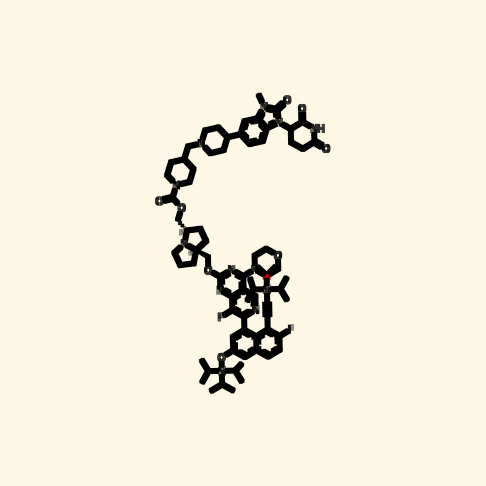 CC(C)[Si](C#Cc1c(F)ccc2cc(O[Si](C(C)C)(C(C)C)C(C)C)cc(-c3ncc4c(N5CCOCC5)nc(OC[C@@]56CCCN5[C@H](COC(=O)N5CCC(CN7CCC(c8ccc9c(c8)n(C)c(=O)n9C8CCC(=O)NC8=O)CC7)CC5)CC6)nc4c3F)c12)(C(C)C)C(C)C